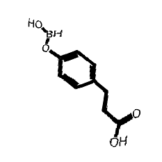 O=C(O)CCc1ccc(OBO)cc1